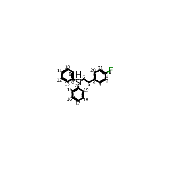 Fc1ccc(CC[SiH](c2ccccc2)c2ccccc2)cc1